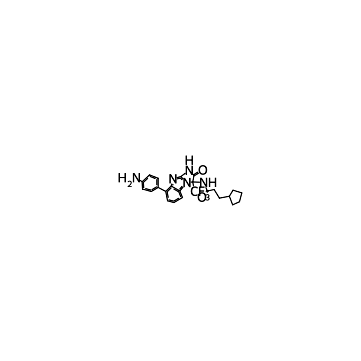 Nc1ccc(-c2cccc3c2nc2n3C(NC(=O)CCC3CCCC3)(C(F)(F)F)C(=O)N2)cc1